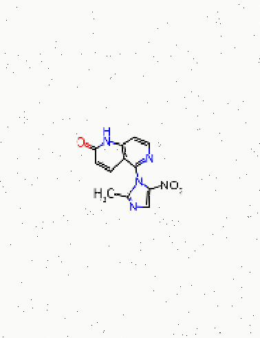 Cc1ncc([N+](=O)[O-])n1-c1nccc2[nH]c(=O)ccc12